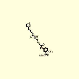 COC(=O)c1cc(NC(=O)CSSCCNC(=O)CCCCC2CCSS2)ccc1O